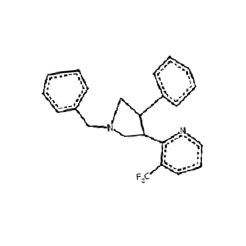 FC(F)(F)c1cccnc1C1CN(Cc2ccccc2)CC1c1ccccc1